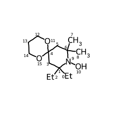 CCC1(CC)CC2(CC(C)(C)N1O)OCCCO2